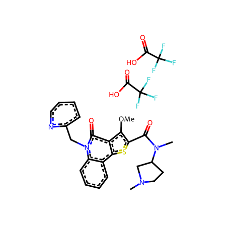 COc1c(C(=O)N(C)C2CCN(C)C2)sc2c1c(=O)n(Cc1ccccn1)c1ccccc21.O=C(O)C(F)(F)F.O=C(O)C(F)(F)F